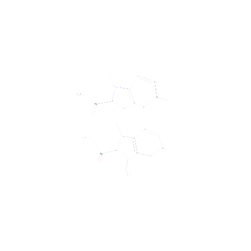 COC(=O)c1c(C=O)c2cc(F)ccc2n1C.COC(=O)c1cc2cc(F)ccc2n1C